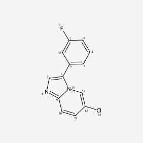 Fc1cccc(-c2[c]nc3ccc(Cl)cn23)c1